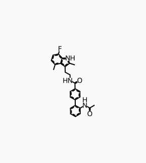 CC(=O)Nc1ccccc1-c1ccc(C(=O)NCCc2c(C)[nH]c3c(F)ccc(C)c23)cc1